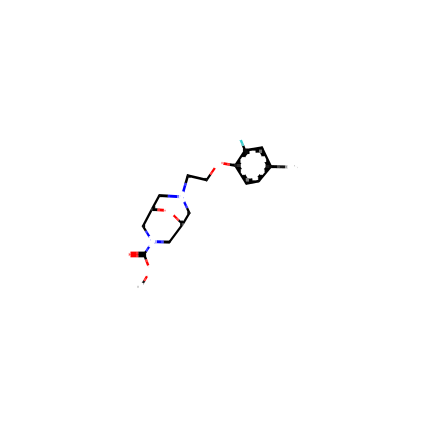 CC(C)(C)OC(=O)N1CC2CN(CCOc3ccc(C#N)cc3F)CC(C1)O2